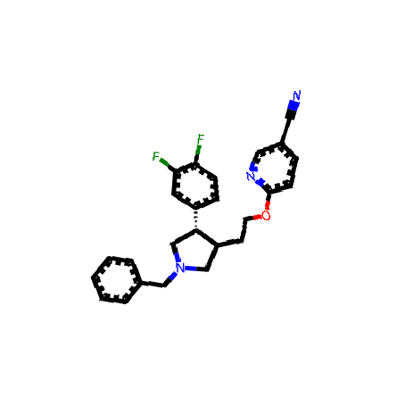 N#Cc1ccc(OCCC2CN(Cc3ccccc3)C[C@@H]2c2ccc(F)c(F)c2)nc1